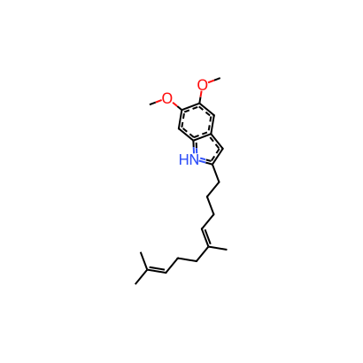 COc1cc2cc(CCC/C=C(\C)CCC=C(C)C)[nH]c2cc1OC